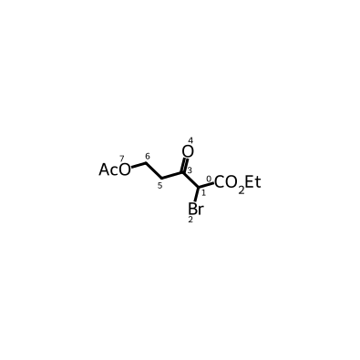 CCOC(=O)C(Br)C(=O)CCOC(C)=O